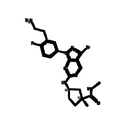 CNC(=O)[C@]1(C)CC[C@@H](Nc2ncc3c(Br)nn(-c4ccc(F)c(CCN)c4)c3n2)C1